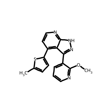 COc1ncccc1-c1n[nH]c2nccc(-c3ccc(C)s3)c12